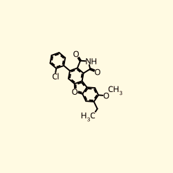 CCc1cc2oc3cc(-c4ccccc4Cl)c4c(c3c2cc1OC)C(=O)NC4=O